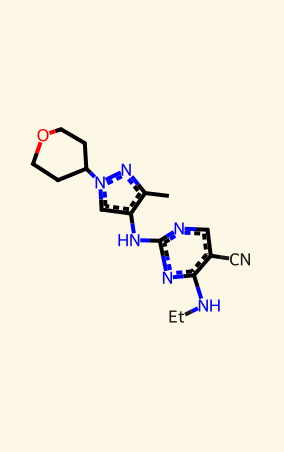 CCNc1nc(Nc2cn(C3CCOCC3)nc2C)ncc1C#N